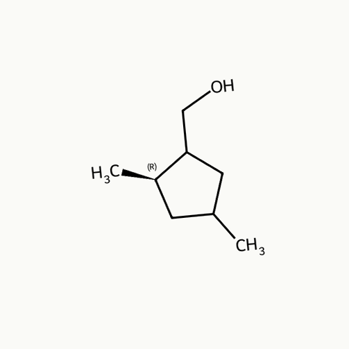 CC1CC(CO)[C@H](C)C1